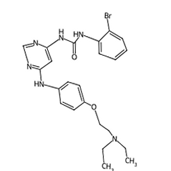 CCN(CC)CCOc1ccc(Nc2cc(NC(=O)Nc3ccccc3Br)ncn2)cc1